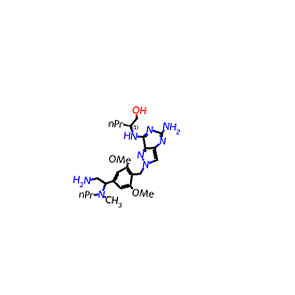 CCC[C@@H](CO)Nc1nc(N)nc2cn(Cc3c(OC)cc(C(CN)N(C)CCC)cc3OC)nc12